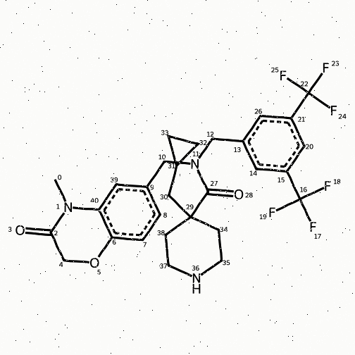 CN1C(=O)COc2ccc(CN(Cc3cc(C(F)(F)F)cc(C(F)(F)F)c3)C(=O)C3(CC4CC4)CCNCC3)cc21